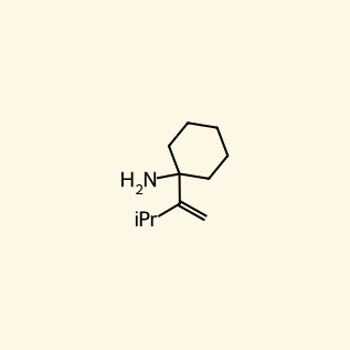 C=C(C(C)C)C1(N)CCCCC1